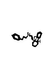 CN(CCCc1ccccc1)CC[C@]12CCCC[C@H]1c1ccccc1O2